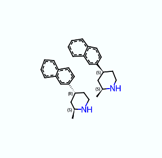 C[C@H]1C[C@@H](c2ccc3ccccc3c2)CCN1.C[C@H]1C[C@H](c2ccc3ccccc3c2)CCN1